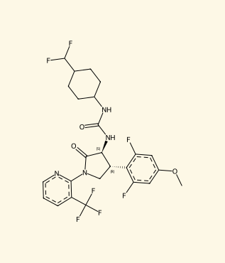 COc1cc(F)c([C@@H]2CN(c3ncccc3C(F)(F)F)C(=O)[C@H]2NC(=O)NC2CCC(C(F)F)CC2)c(F)c1